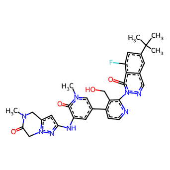 CN1Cc2cc(Nc3cc(-c4ccnc(-n5ncc6cc(C(C)(C)C)cc(F)c6c5=O)c4CO)cn(C)c3=O)nn2CC1=O